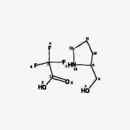 O=C(O)C(F)(F)F.OCC1CCCN1